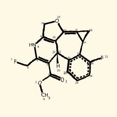 COC(=O)C1=C(CF)NC2=C3C(=C4CC4c4c(F)cccc4[C@H]13)OC2